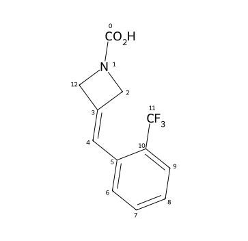 O=C(O)N1CC(=Cc2ccccc2C(F)(F)F)C1